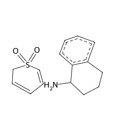 NC1CCCc2ccccc21.O=S1(=O)C=CC=CC1